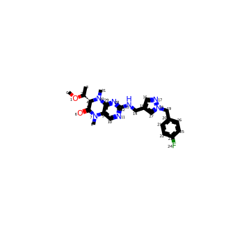 COC(C)[C@H]1C(=O)N(C)c2cnc(NCc3cnn(Cc4ccc(F)cc4)c3)nc2N1C